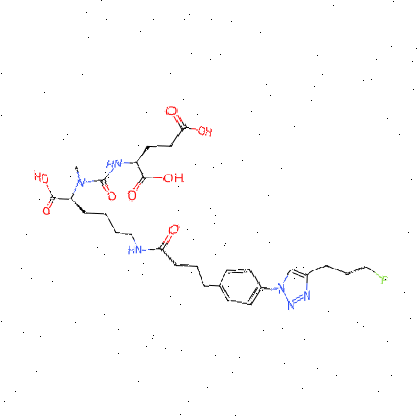 CN(C(=O)N[C@@H](CCC(=O)O)C(=O)O)[C@@H](CCCCNC(=O)CCCc1ccc(-n2cc(CCCF)nn2)cc1)C(=O)O